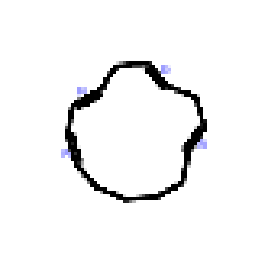 [CH]1C/C=C\C=C\C/C=C/C/C=C/CC1